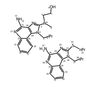 CC(C)Cn1c(N(C)CCO)nc2c(N)nc3ccccc3c21.CCCSc1nc2c(N)nc3ccccc3c2n1CC(C)C